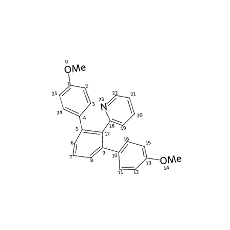 COc1ccc(-c2cccc(-c3ccc(OC)cc3)c2-c2ccccn2)cc1